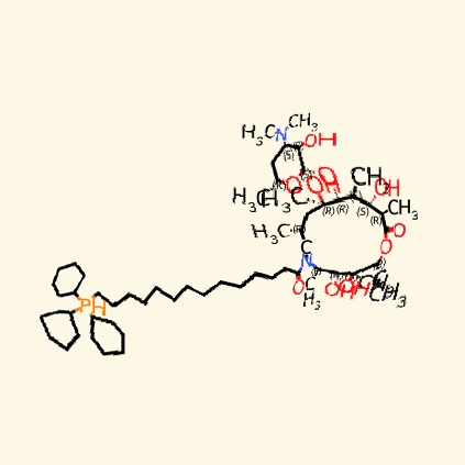 CC[C@H]1OC(=O)[C@H](C)[C@@H](O)[C@H](C)[C@@H](O[C@@H]2O[C@H](C)C[C@H](N(C)C)[C@H]2O)[C@](C)(O)C[C@@H](C)CN(C(=O)CCCCCCCCCCCCC[PH](C2CCCCC2)(C2CCCCC2)C2CCCCC2)[C@H](C)[C@@H](O)[C@]1(C)O